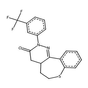 O=C1CC2CCSc3ccccc3C2=NN1c1cccc(C(F)(F)F)c1